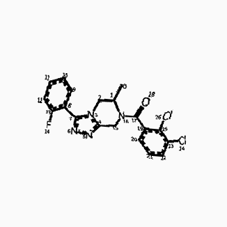 CC1Cn2c(nnc2-c2ccccc2F)CN1C(=O)c1cccc(Cl)c1Cl